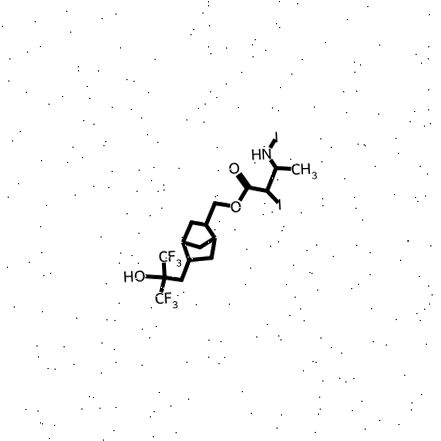 CC(NI)C(I)C(=O)OCC1CC2CC1CC2CC(O)(C(F)(F)F)C(F)(F)F